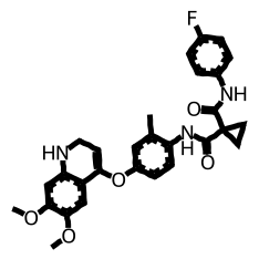 COc1cc2c(cc1OC)C(Oc1ccc(NC(=O)C3(C(=O)Nc4ccc(F)cc4)CC3)c(C)c1)=CCN2